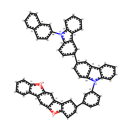 c1cc(-c2ccc3oc4cc5c(cc4c3c2)oc2ccccc25)cc(-n2c3ccccc3c3cc(-c4ccc5c(c4)c4ccccc4n5-c4ccc5ccccc5c4)ccc32)c1